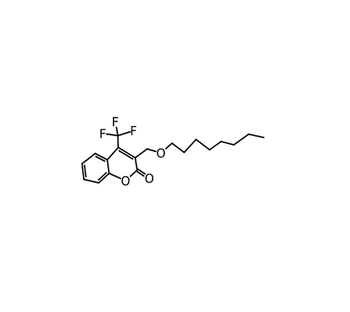 CCCCCCCCOCc1c(C(F)(F)F)c2ccccc2oc1=O